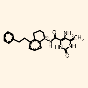 C=C1NC(=O)NC(C(=O)N[C@@H]2CCCc3c(CCc4ccccc4)cccc32)=C1N